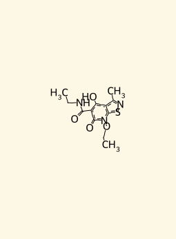 CCNC(=O)c1c(O)c2c(C)nsc2n(OCC)c1=O